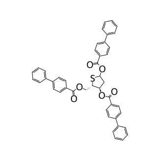 O=C(OC[C@@H]1SC(OC(=O)c2ccc(-c3ccccc3)cc2)C[C@H]1OC(=O)c1ccc(-c2ccccc2)cc1)c1ccc(-c2ccccc2)cc1